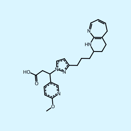 COc1ccc(C(CC(=O)O)n2ccc(CCCC3CCC4=C(N=CC=CC4)N3)n2)cn1